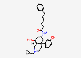 O=C(CCCCCc1ccccc1)N[C@H]1CC(O)[C@@H]2CN(CC3CC3)CC[C@@]2(c2cccc(O)c2)C1